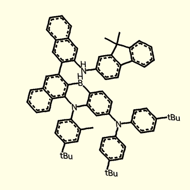 Cc1cc(C(C)(C)C)ccc1N1c2cc(N(c3ccc(C(C)(C)C)cc3)c3ccc(C(C)(C)C)cc3)ccc2Bc2c(-c3cc4ccccc4cc3Nc3ccc4c(c3)C(C)(C)c3ccccc3-4)cc3ccccc3c21